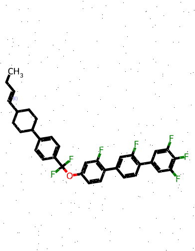 CC/C=C/C1CCC(c2ccc(C(F)(F)Oc3ccc(-c4ccc(-c5cc(F)c(F)c(F)c5)c(F)c4)c(F)c3)cc2)CC1